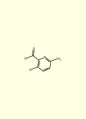 Cc1ccc(Cl)c(C(=O)Cl)n1